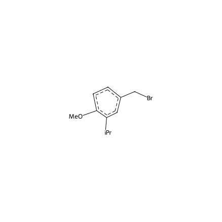 COc1ccc(CBr)cc1C(C)C